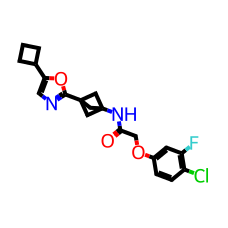 O=C(COc1ccc(Cl)c(F)c1)NC12CC(c3ncc(C4CCC4)o3)(C1)C2